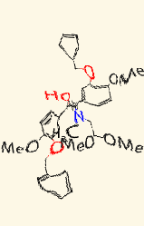 COc1ccc([C@H]([C@@H](O)c2ccc(OC)c(OCc3ccccc3)c2)N(C)CC(OC)OC)cc1OCc1ccccc1